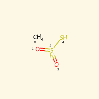 C.O=[SH](=O)S